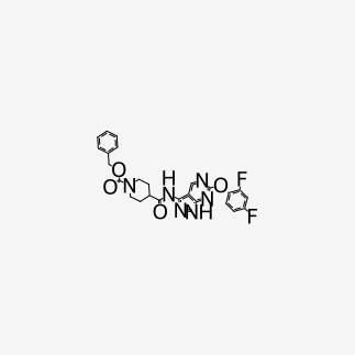 O=C(Nc1n[nH]c2nc(Oc3ccc(F)cc3F)ncc12)C1CCN(C(=O)OCc2ccccc2)CC1